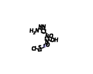 Nc1ncnc2cc(CN3CCN(C(=O)/C=C/c4ccc(Cl)s4)C(CO)C3=O)ccc12